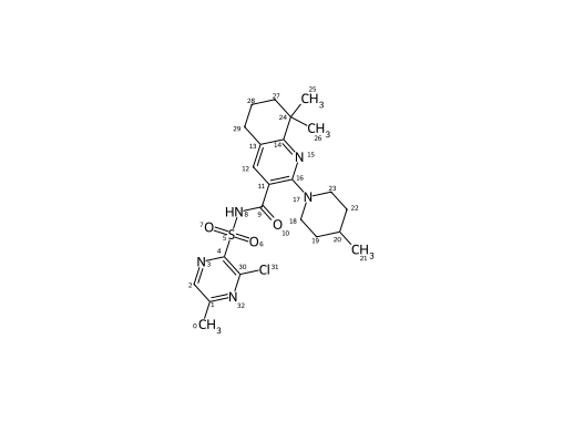 Cc1cnc(S(=O)(=O)NC(=O)c2cc3c(nc2N2CCC(C)CC2)C(C)(C)CCC3)c(Cl)n1